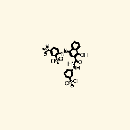 CS(=O)(=O)c1ccc(N=Nc2cc(C(=O)NNc3cccc(S(=O)(=O)Cl)c3)c(O)c3ccccc23)c(S(C)(=O)=O)c1